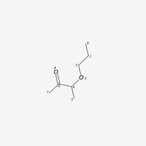 CCCOC(C)C(C)=O